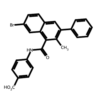 Cc1c(-c2ccccc2)cc2ccc(Br)cc2c1C(=O)Nc1ccc(C(=O)O)cc1